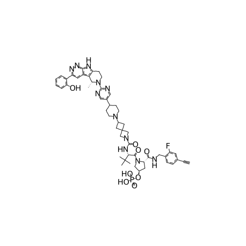 C#Cc1ccc(CNC(=O)[C@@H]2C[C@@H](OP(=O)(O)O)CN2C(=O)[C@@H](NC(=O)N2CC3(CC(N4CCC(c5cnc(N6CCc7[nH]c8nnc(-c9ccccc9O)cc8c7[C@H]6C)nc5)CC4)C3)C2)C(C)(C)C)c(F)c1